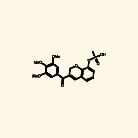 COc1cc(C(=O)C2=Cc3cccc(OP(C)(=O)O)c3OC2)cc(OC)c1OC